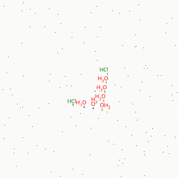 Cl.Cl.O.O.O.O.O.O